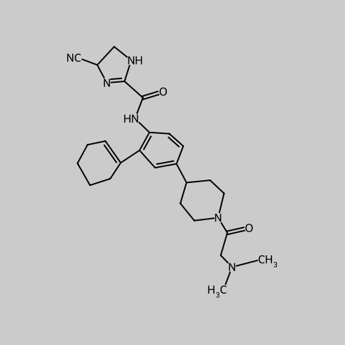 CN(C)CC(=O)N1CCC(c2ccc(NC(=O)C3=NC(C#N)CN3)c(C3=CCCCC3)c2)CC1